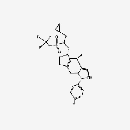 C[C@H]1C2=CNN(c3ccc(F)cc3)C2=CC2=C1[C@@H](CN(C[C]1CC1)S(=O)(=O)CC(F)(F)F)CC2